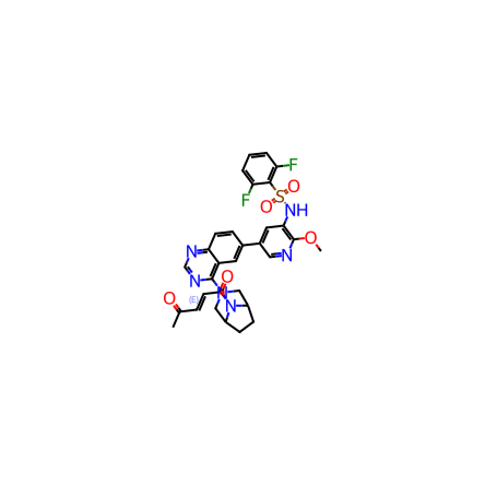 COc1ncc(-c2ccc3ncnc(N4CC5CCC(C4)N5C(=O)/C=C/C(C)=O)c3c2)cc1NS(=O)(=O)c1c(F)cccc1F